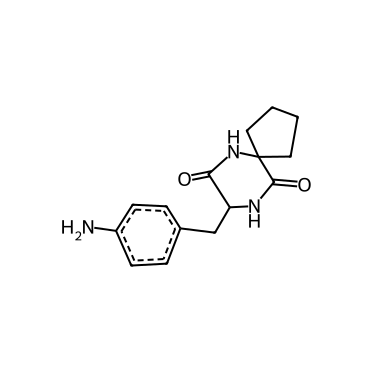 Nc1ccc(CC2NC(=O)C3(CCCC3)NC2=O)cc1